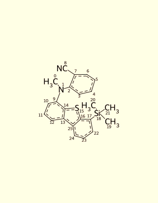 CN(c1ccccc1C#N)c1cccc2c1sc1c([Si](C)(C)C)cccc12